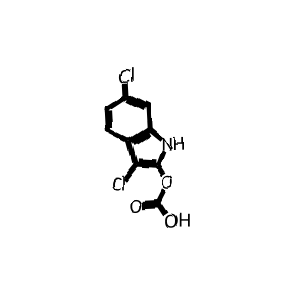 O=C(O)Oc1[nH]c2cc(Cl)ccc2c1Cl